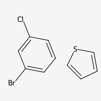 Clc1cccc(Br)c1.c1ccsc1